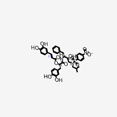 CC(C)CN(C[C@@H](O)[C@H](Cc1ccccc1)NC(=O)[C@@H](Cc1ccc(O)c(O)c1)OC(=O)/C=C/c1ccc(O)c(O)c1)S(=O)(=O)c1ccc([N+](=O)[O-])cc1